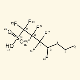 CCCC(F)C(F)(F)C(F)(F)C(F)(F)S(=O)(=O)O